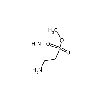 COS(=O)(=O)CCN.N